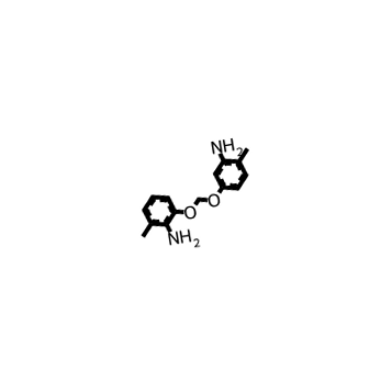 Cc1ccc(OCOc2cccc(C)c2N)cc1N